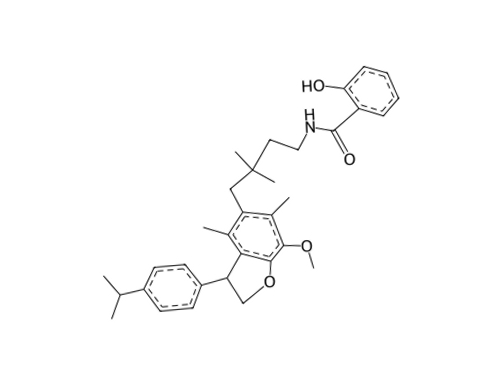 COc1c(C)c(CC(C)(C)CCNC(=O)c2ccccc2O)c(C)c2c1OCC2c1ccc(C(C)C)cc1